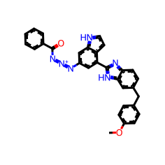 COc1ccc(Cc2ccc3nc(-c4cc(N=[N+]=NC(=O)c5ccccc5)cc5[nH]ccc45)[nH]c3c2)cc1